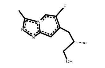 Cc1nnc2cc(C[C@H](C)CO)c(F)cn12